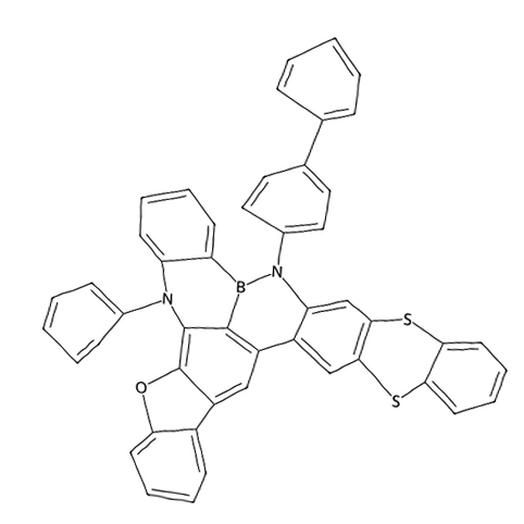 c1ccc(-c2ccc(N3B4c5ccccc5N(c5ccccc5)c5c4c(cc4c5oc5ccccc54)-c4cc5c(cc43)Sc3ccccc3S5)cc2)cc1